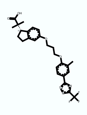 Cc1cc(-c2nc(C(F)(F)F)ns2)ccc1OCCCOc1ccc2c(c1)CC[C@@H]2C(C)(C)C(=O)O